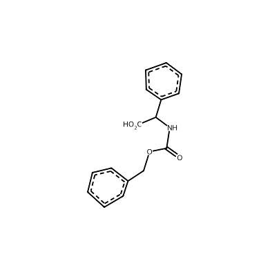 O=C(NC(C(=O)O)c1ccccc1)OCc1ccccc1